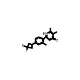 Cc1cc(C2CC(F)(F)C2)ccc1-c1cc(=O)c(C)c(C)[nH]1